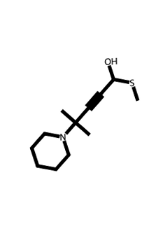 CSC(O)C#CC(C)(C)N1CCCCC1